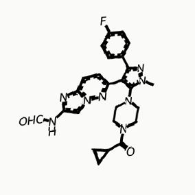 Cn1nc(-c2ccc(F)cc2)c(-c2ccc3nc(NC=O)cn3n2)c1N1CCN(C(=O)C2CC2)CC1